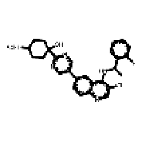 CC(=O)NC1CCC(O)(c2ncc(-c3ccc4ncc(Cl)c(NC(C)c5ccccc5F)c4c3)cn2)CC1